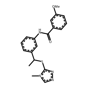 COc1cccc(C(=O)Nc2cccc(C(C)Sc3nncn3C)c2)c1